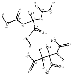 CC(C(=O)O)C(O)(C(=O)O)C(C)(C)C(=O)O.COC(=O)CC(O)(CC(=O)OC)C(=O)OC